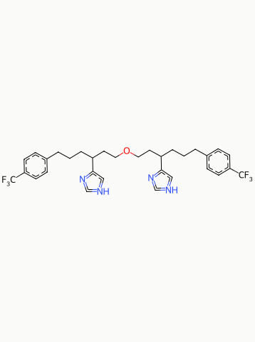 FC(F)(F)c1ccc(CCCC(CCOCCC(CCCc2ccc(C(F)(F)F)cc2)c2c[nH]cn2)c2c[nH]cn2)cc1